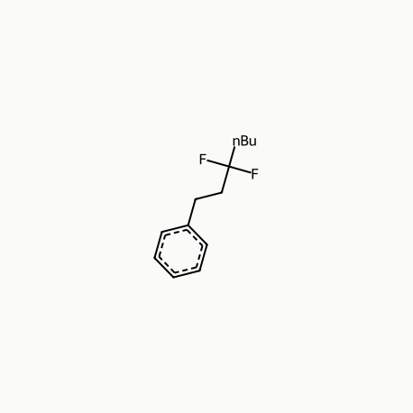 [CH2]CCCC(F)(F)CCc1ccccc1